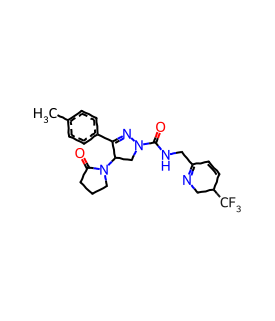 Cc1ccc(C2=NN(C(=O)NCC3=NCC(C(F)(F)F)C=C3)CC2N2CCCC2=O)cc1